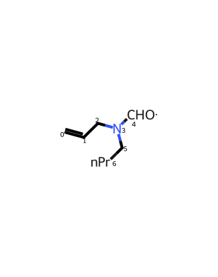 C=CCN([C]=O)CCCC